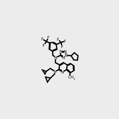 Cc1cccc2cc(CN(Cc3cc(C(F)(F)F)cc(C(F)(F)F)c3)c3nnn(C4CCCC4)n3)c(N(CC3CC3)CC3CC3)nc12